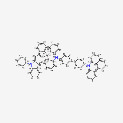 c1ccc(N(c2ccc(-c3ccc(N4c5ccccc5C(c5ccccc5)(c5ccc6c(c5)c5ccccc5n6-c5ccccc5)c5ccccc54)cc3)cc2)c2cccc3ccccc23)cc1